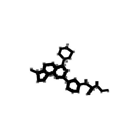 CCNC(=O)Nc1cccc(-c2nc(N3CCOCC3)c3ccc4c(ccn4C)c3n2)c1